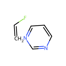 C=CF.c1cncnc1